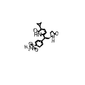 NS(=O)(=O)c1ccc(C(=C[C@H]2CCC(=O)N2)c2ccc(C3CC3)c(=O)[nH]2)cc1